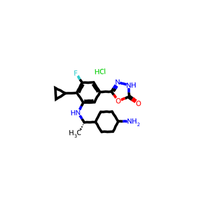 C[C@H](Nc1cc(-c2n[nH]c(=O)o2)cc(F)c1C1CC1)C1CCC(N)CC1.Cl